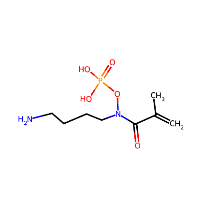 C=C(C)C(=O)N(CCCCN)OP(=O)(O)O